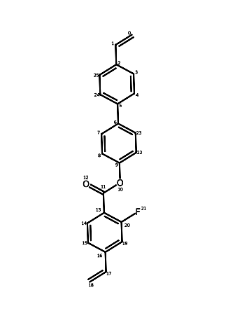 C=Cc1ccc(-c2ccc(OC(=O)c3ccc(C=C)cc3F)cc2)cc1